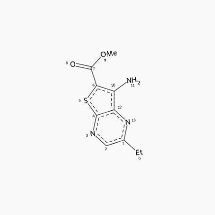 CCc1cnc2sc(C(=O)OC)c(N)c2n1